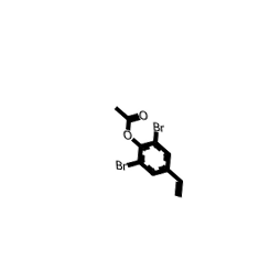 C=Cc1cc(Br)c(OC(C)=O)c(Br)c1